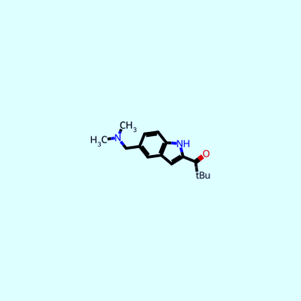 CN(C)Cc1ccc2[nH]c(C(=O)C(C)(C)C)cc2c1